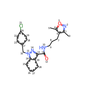 Cc1noc(C)c1CCCNC(=O)c1nn(Cc2ccc(Cl)cc2)c2ccccc12